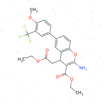 CCOC(=O)CC1C(C(=O)OCC)=C(N)Oc2ccc(-c3ccc(OC)c(C(F)(F)F)c3)cc21